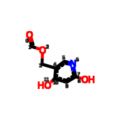 O=COCc1cnc(O)cc1O